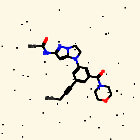 CNC(=O)Nc1cc2n(n1)CCN2c1cc(C#CCOC)cc(C(=O)N2CCOCC2)c1